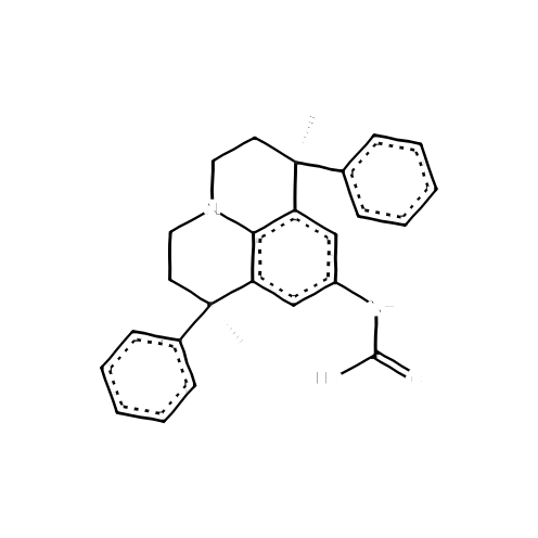 C[C@@]1(c2ccccc2)CCN2CC[C@](C)(c3ccccc3)c3cc(NC(=O)S)cc1c32